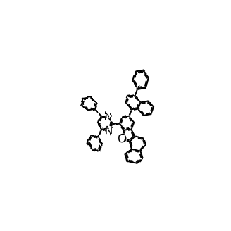 c1ccc(-c2cc(-c3ccccc3)nc(-c3cc(-c4ccc(-c5ccccc5)c5ccccc45)cc4c3oc3c5ccccc5ccc43)n2)cc1